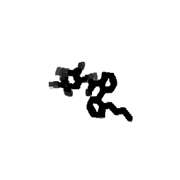 CCCCc1ccccc1-c1ccccc1C(=O)NC(CS(=O)(=O)O)C(=O)O